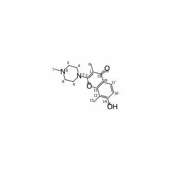 Cc1c(N2CCN(C)CC2)oc2c(C)c(O)ccc2c1=O